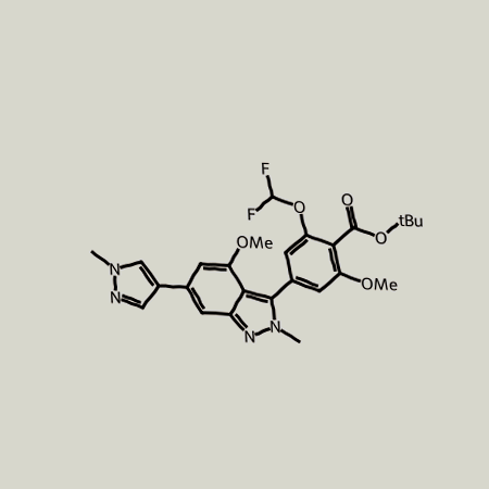 COc1cc(-c2c3c(OC)cc(-c4cnn(C)c4)cc3nn2C)cc(OC(F)F)c1C(=O)OC(C)(C)C